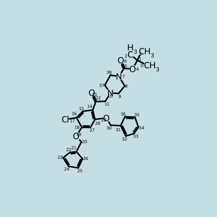 CC(C)(C)OC(=O)N1CCN(CC(=O)c2cc(Cl)c(OCc3ccccc3)cc2OCc2ccccc2)CC1